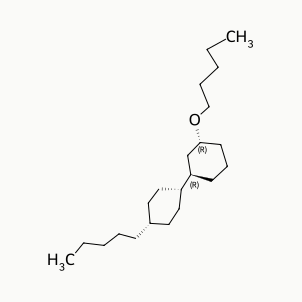 CCCCCO[C@@H]1CCC[C@@H]([C@H]2CC[C@@H](CCCCC)CC2)C1